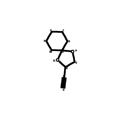 C#CC1COC2(CCCCC2)O1